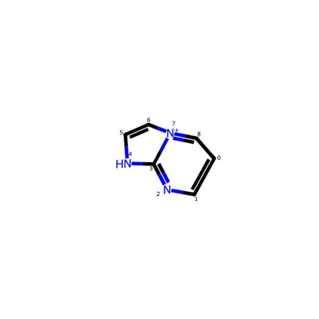 c1cnc2[nH]cc[n+]2c1